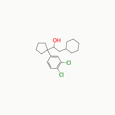 OC(CC1CCCCC1)C1(c2ccc(Cl)c(Cl)c2)CCCC1